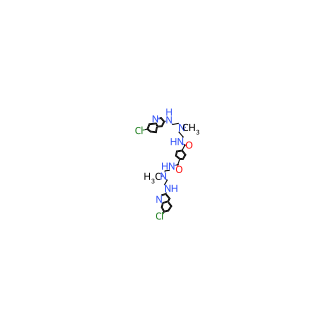 CN(CCNC(=O)c1ccc(C(=O)NCCN(C)CCNc2cnc3cc(Cl)ccc3c2)cc1)CCNc1cnc2cc(Cl)ccc2c1